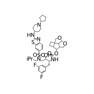 CC(C)CN(C[C@@H](O)[C@H](Cc1cc(F)cc(F)c1)NC(=O)OC1C2COC3OCC4(CCC14)C32)S(=O)(=O)c1ccc2nc(NC3CCN(C4CCCC4)CC3)sc2c1